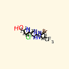 OCc1cnc(-c2ccc(-c3nc4c(Br)cc(C(F)(F)F)cc4[nH]3)nc2)c(Cl)c1